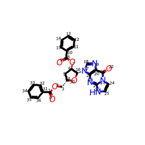 O=C(OC[C@@H]1C[C@@H](OC(=O)c2ccccc2)[C@H](n2cnc3c(=O)n4cc[nH]c4nc32)O1)c1ccccc1